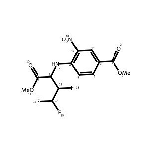 COC(=O)c1ccc(NC(C(=O)OC)C(F)C(F)F)c([N+](=O)[O-])c1